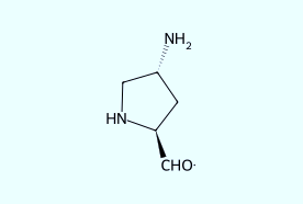 N[C@H]1CN[C@H]([C]=O)C1